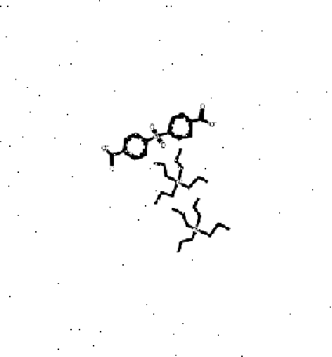 CCC[N+](CCC)(CCC)CCC.CCC[N+](CCC)(CCC)CCC.O=C([O-])c1ccc(S(=O)(=O)c2ccc(C(=O)[O-])cc2)cc1